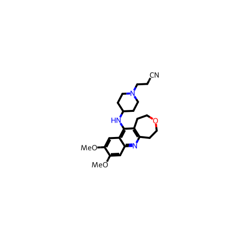 COc1cc2nc3c(c(NC4CCN(CCC#N)CC4)c2cc1OC)CCOCC3